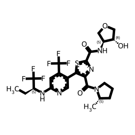 CC[C@H](Nc1cc(C(F)(F)F)c(-c2sc(C(=O)N[C@H]3COC[C@@H]3O)nc2C(=O)N2CCC[C@@H]2C)cn1)C(F)(F)F